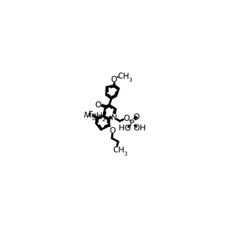 CCCOc1ccc(F)c2c(=O)c(-c3ccc(OC)cc3)cn(COP(=O)(O)O)c12.[MgH2]